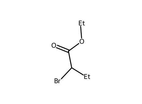 [CH2]CC(Br)C(=O)OCC